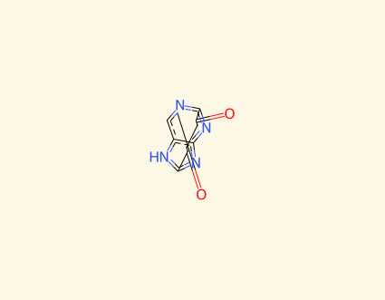 O=C1CCC(=O)c2nc3nc1ncc3[nH]2